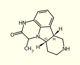 CC1C(=O)Nc2cccc3c2N1[C@H]1CCNC[C@@H]31